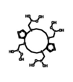 OOP(O)CN1CCCN(CP(O)OO)c2cscc2N(CP(O)OO)CCCN(CP(O)OO)c2cscc21